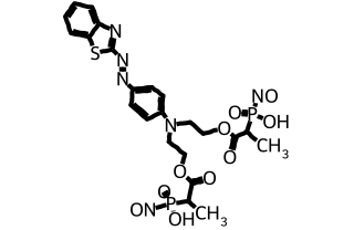 CC(C(=O)OCCN(CCOC(=O)C(C)P(=O)(O)N=O)c1ccc(/N=N/c2nc3ccccc3s2)cc1)P(=O)(O)N=O